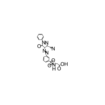 N#CC1=NN(c2ccccc2)C(=O)C1/N=N/c1cccc(S(=O)(=O)NCC(=O)O)c1